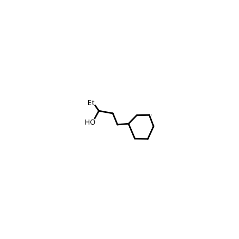 CCC(O)CCC1C[CH]CCC1